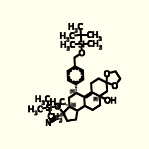 CC(C)(C)[Si](C)(C)OCc1ccc([C@H]2C[C@@]3(C)C(CC[C@@]3(C#N)O[Si](C)(C)C)C3CC[C@@]4(O)CC5(CCC4=C32)OCCO5)cc1